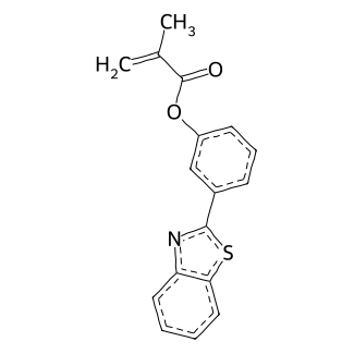 C=C(C)C(=O)Oc1cccc(-c2nc3ccccc3s2)c1